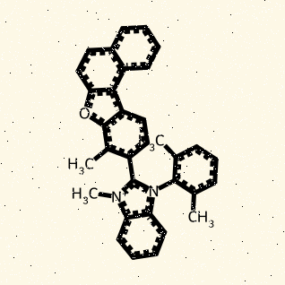 Cc1cccc(C)c1-n1c(-c2ccc3c(oc4ccc5ccccc5c43)c2C)[n+](C)c2ccccc21